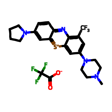 CN1CCN(c2cc(C(F)(F)F)c3nc4ccc(N5CCCC5)cc4[s+]c3c2)CC1.O=C([O-])C(F)(F)F